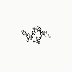 CC1NN(c2ccnc(Nc3ccc(-c4csc5c4OC(N4CCOCC4)CC5=O)cc3)n2)CC1CNCS(=O)(=O)O